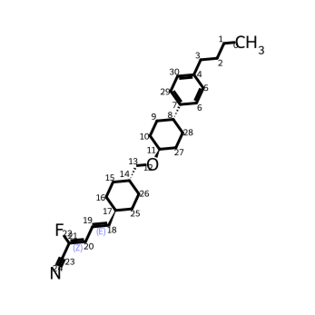 CCCCc1ccc([C@H]2CC[C@H](OC[C@H]3CC[C@H](/C=C/C=C(\F)C#N)CC3)CC2)cc1